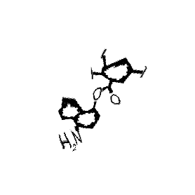 Nc1ccc(OC(=O)c2cc(I)cc(I)c2I)c2ccccc12